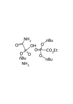 CCCCOP(=O)(O)C(N)=O.CCCCOP(=O)(OCCCC)C(=O)OCC.N